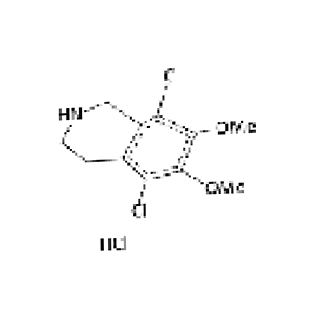 COc1c(Cl)c2c(c(Cl)c1OC)CNCC2.Cl